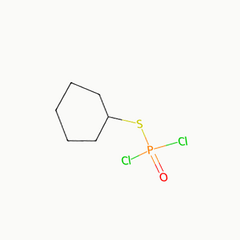 O=P(Cl)(Cl)SC1CCCCC1